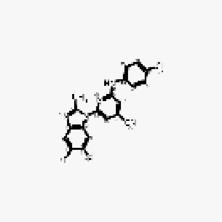 Cc1nc2cc(F)c(F)cc2n1-c1cc(C#N)cc(Nc2ccc(Cl)cc2)n1